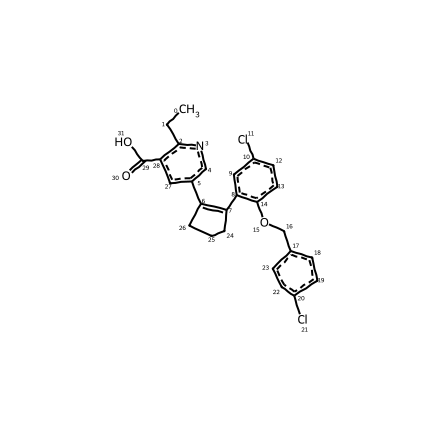 CCc1ncc(C2=C(c3cc(Cl)ccc3OCc3ccc(Cl)cc3)CCC2)cc1C(=O)O